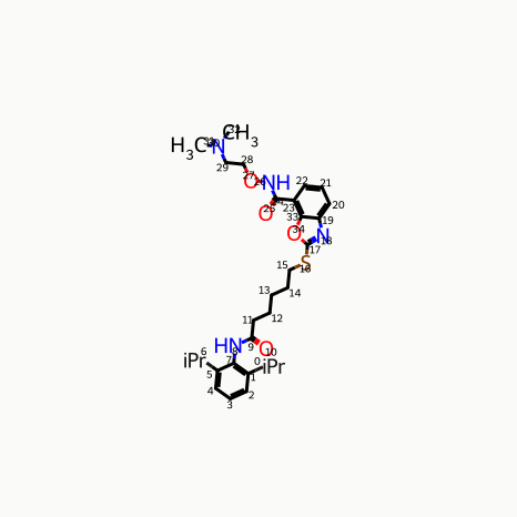 CC(C)c1cccc(C(C)C)c1NC(=O)CCCCCSc1nc2cccc(C(=O)NOCCN(C)C)c2o1